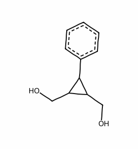 OCC1C(CO)C1c1ccccc1